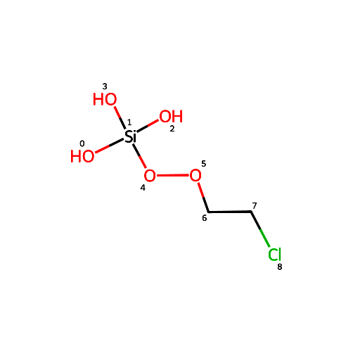 O[Si](O)(O)OOCCCl